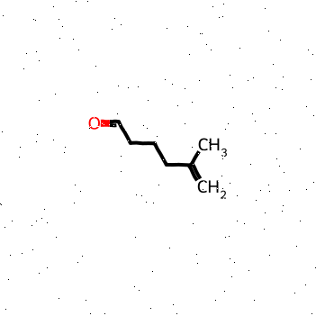 C=C(C)CCCC=O